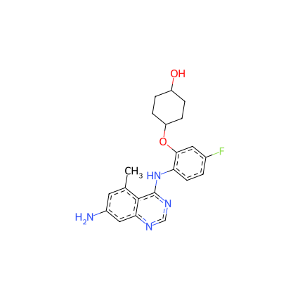 Cc1cc(N)cc2ncnc(Nc3ccc(F)cc3OC3CCC(O)CC3)c12